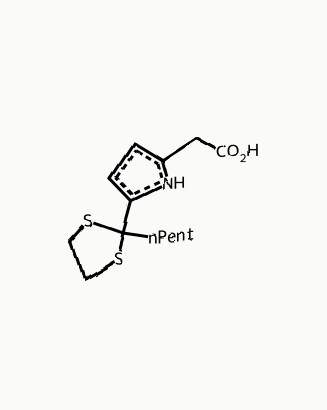 CCCCCC1(c2ccc(CC(=O)O)[nH]2)SCCS1